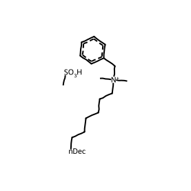 CCCCCCCCCCCCCCCC[N+](C)(C)Cc1ccccc1.CS(=O)(=O)O